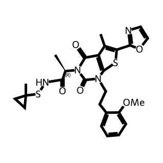 COc1ccccc1CCn1c(=O)n([C@H](C)C(=O)NSC2(C)CC2)c(=O)c2c(C)c(-c3ncco3)sc21